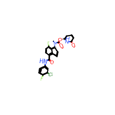 CN(C(=O)O[C@@H]1CCCC(=O)N1)[C@H]1CCc2c(C(=O)Nc3ccc(F)c(Cl)c3)ccc(F)c21